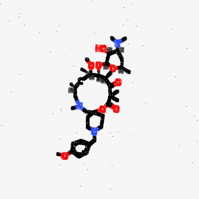 COc1ccc(CN2CCC3(CC2)CN(C)C[C@H](C)C[C@@](C)(OC)[C@H](O[C@@H]2O[C@H](C)C[C@H](N(C)C)[C@H]2O)[C@@H](C)C(=O)C(C)(C)C(=O)O3)cc1